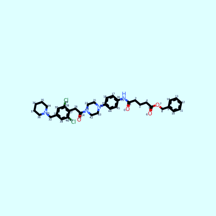 O=C(CCCC(=O)OCc1ccccc1)Nc1ccc(N2CCN(C(=O)Cc3c(Cl)cc(CN4CCCCC4)cc3Cl)CC2)cc1